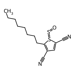 CCCCCCCCC1=C(C#N)C=C(C#N)S1=S=O